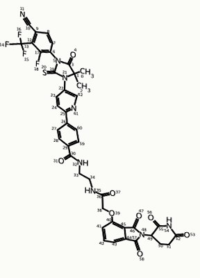 CC1(C)C(=O)N(c2ccc(C#N)c(C(F)(F)F)c2F)C(=S)N1c1ccc(-c2ccc(C(=O)NCCNC(=O)COc3cccc4c3C(=O)N(C3CCC(=O)NC3=O)C4=O)cc2)nc1